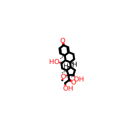 CO[C@]1(C(=O)CO)[C@H](O)C[C@H]2[C@@H]3CCC4=CC(=O)C=C[C@]4(C)C3[C@@H](O)C[C@@]21C